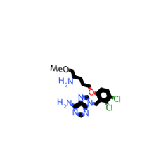 COC[C@H](N)CCCOc1ccc(Cl)c(Cl)c1Cn1cnc2c(N)ncnc21